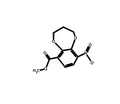 COC(=O)c1ccc([N+](=O)[O-])c2c1OCCCO2